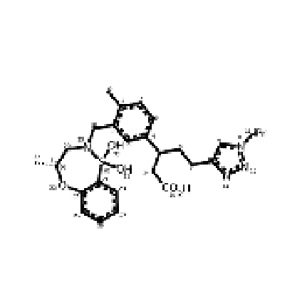 Cc1ccc(C(CCc2cn(C(C)C)nn2)CC(=O)O)cc1CN1C[C@@H](C)Oc2ccccc2S1(O)O